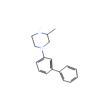 CC1CN(c2cccc(-c3ccccc3)c2)CCN1